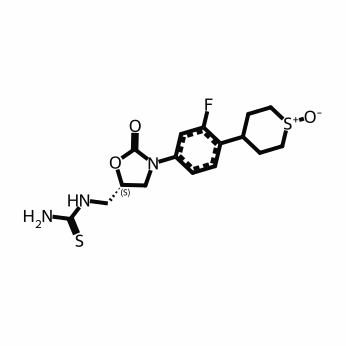 NC(=S)NC[C@H]1CN(c2ccc(C3CC[S+]([O-])CC3)c(F)c2)C(=O)O1